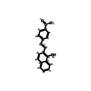 O=[N+]([O-])c1ccc(/N=N/c2ccc3ccccc3c2O)nc1